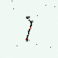 CCCOOCCSCSCSCCOC(=O)CCSCSCSCCC(=O)OCSCSCCO